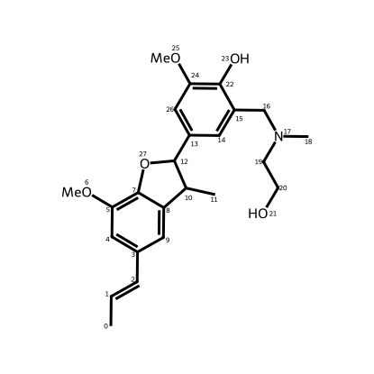 C/C=C/c1cc(OC)c2c(c1)C(C)C(c1cc(CN(C)CCO)c(O)c(OC)c1)O2